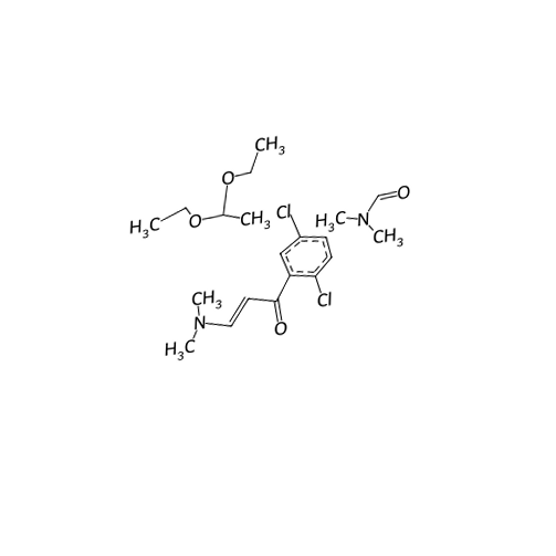 CCOC(C)OCC.CN(C)/C=C/C(=O)c1cc(Cl)ccc1Cl.CN(C)C=O